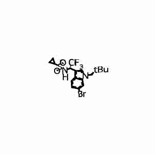 CC(C)(C)Cn1cc([C@H](NS(=O)(=O)C2CC2)C(F)(F)F)c2ccc(Br)cc21